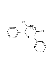 CCC(C(OC(c1ccccc1)C(CC)[N+](=O)[O-])c1ccccc1)[N+](=O)[O-]